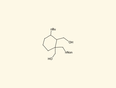 CCCCCCCCCCC1(CO)CCCC(CCCC)C1CO